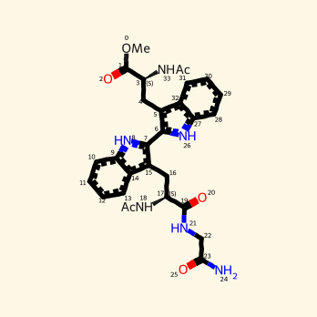 COC(=O)[C@H](Cc1c(-c2[nH]c3ccccc3c2C[C@H](NC(C)=O)C(=O)NCC(N)=O)[nH]c2ccccc12)NC(C)=O